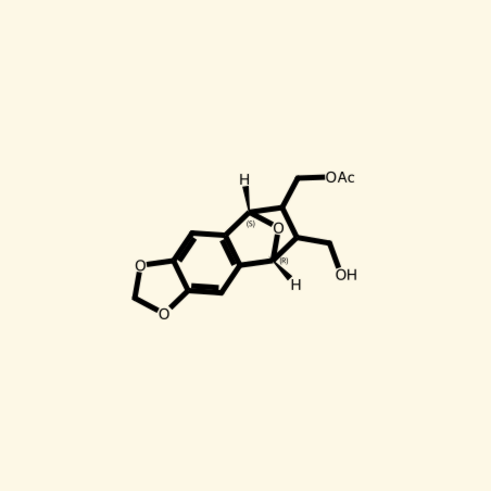 CC(=O)OCC1C(CO)[C@H]2O[C@@H]1c1cc3c(cc12)OCO3